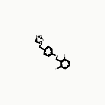 Fc1cccc(F)c1COc1ccc(Cn2cnnn2)cc1